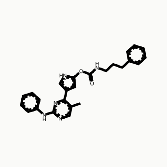 Cc1cnc(Nc2ccccc2)nc1-c1c[nH]c(OC(=O)NCCCc2ccccc2)c1